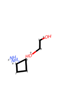 C1CCC1.N.N.OCCO